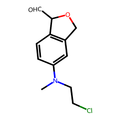 CN(CCCl)c1ccc2c(c1)COC2C=O